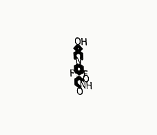 O=C1CC[C@H](c2c(F)cc(N3CCC4(CC3)CC(O)C4)cc2F)C(=O)N1